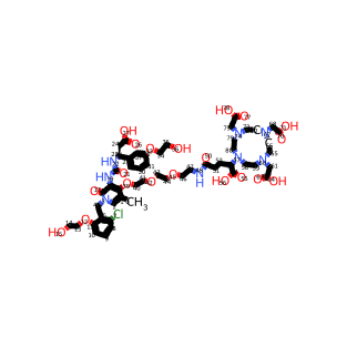 Cc1cn(Cc2c(Cl)cccc2OCCO)c(=O)c(NC(=O)N[C@@H](CC(=O)O)c2cccc(OCCO)c2)c1OCCOCCOCCNC(=O)CCC(C(=O)O)N1CCN(CC(=O)O)CCN(CC(=O)O)CCN(CC(=O)O)CC1